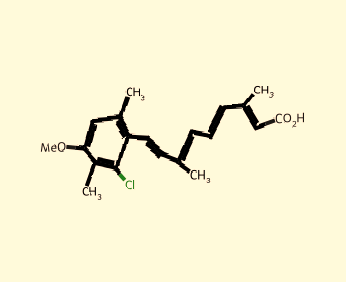 COc1cc(C)c(C=CC(C)=CC=CC(C)=CC(=O)O)c(Cl)c1C